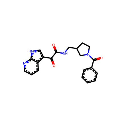 O=C(NCC1CCN(C(=O)c2ccccc2)C1)C(=O)c1c[nH]c2ncccc12